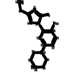 Cc1nc(CO)nn1-c1nc(N2CCNCC2)ncc1F